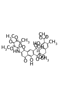 COC(=O)c1c(C)cc2c(c1O)[C@]1(O)C(=O)c3cc4c(c(O)c3C(=O)[C@]1(OC)C(=O)C2)C(=O)C=C(N[C@H]1O[C@@H](C)[C@H](OC)C(=O)[C@H]1OC)C4=O